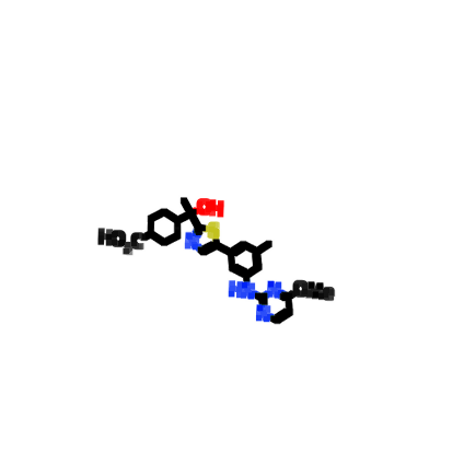 COc1ccnc(Nc2cc(C)cc(-c3cnc(C(C)(O)C4CCC(C(=O)O)CC4)s3)c2)n1